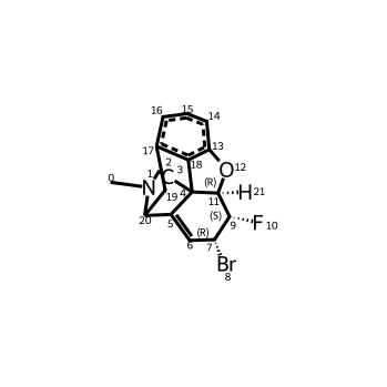 CN1CCC23C4=C[C@@H](Br)[C@@H](F)[C@@H]2Oc2cccc(c23)CC41